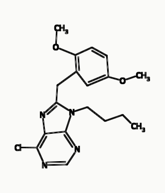 CCCCn1c(Cc2cc(OC)ccc2OC)nc2c(Cl)ncnc21